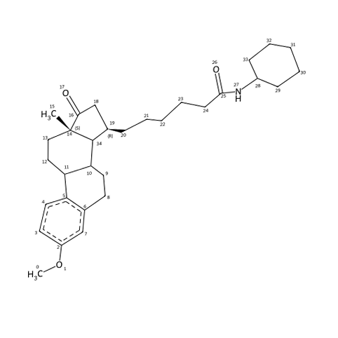 COc1ccc2c(c1)CCC1C2CC[C@]2(C)C(=O)C[C@@H](CCCCCC(=O)NC3CCCCC3)C12